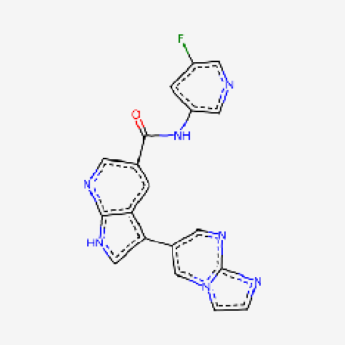 O=C(Nc1cncc(F)c1)c1cnc2[nH]cc(-c3cnc4nccn4c3)c2c1